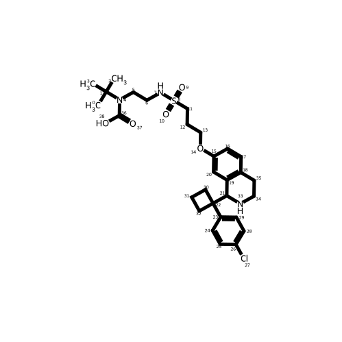 CC(C)(C)N(CCNS(=O)(=O)CCCOc1ccc2c(c1)C(C1(c3ccc(Cl)cc3)CCC1)NCC2)C(=O)O